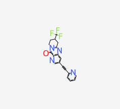 O=c1c2ncc(C#Cc3ccccn3)cc2nc2n1CCC(C(F)(F)F)C2